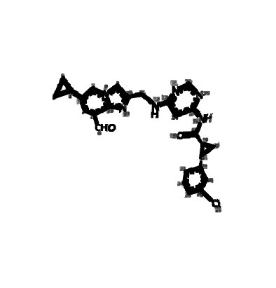 O=Cc1cc(C2CC2)cn2cc(CNc3cc(NC(=O)[C@H]4C[C@@H]4c4cccc(Cl)c4)ncn3)nc12